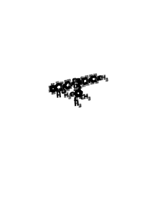 Cc1cc(CC(OC(=O)N2CCC(N3CCc4ccccc4NC3=O)CC2)C(=O)N2CCN(C3CCN(C)CC3)CC2)cc(C)c1C